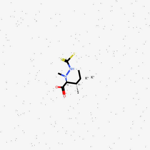 CC[C@H](C)[C@@H](C(=O)[O-])N(C)NC(=S)[S-].[K+].[K+]